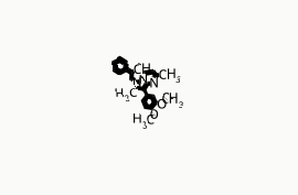 COc1ccc(C2=C3N=C(C)C=CN3N(CC(C)c3ccccc3)C2C)cc1OC